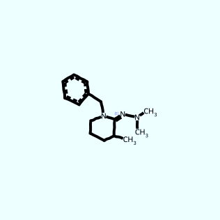 CC1CCCN(Cc2ccccc2)/C1=N/N(C)C